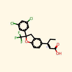 CC/C(=C\C(=O)O)c1ccc2c(c1)CC(c1cc(Cl)cc(Cl)c1)(C(F)(F)F)O2